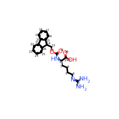 NC(N)=NCCCC[C@@H](NC(=O)OCC1c2ccccc2-c2ccccc21)C(=O)O